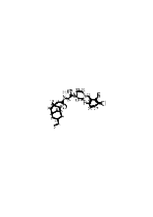 CCC1CC2CC(C1)CC(C)(CC(=O)NCC(=O)N1CCN(Cc3c(F)ccc(Cl)c3F)CC1)C2